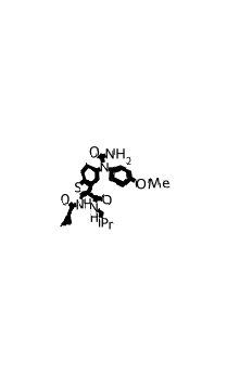 COc1ccc(N(C(N)=O)C2CCc3sc(NC(=O)C4CC4)c(C(=O)NCC(C)C)c3C2)cc1